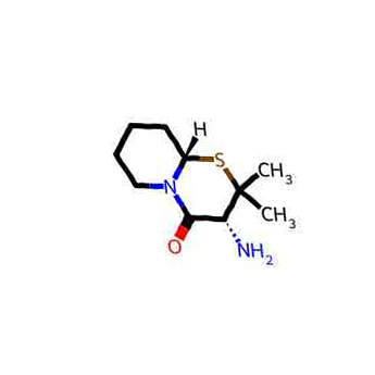 CC1(C)S[C@H]2CCCCN2C(=O)[C@H]1N